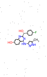 Cc1cc(Nc2nc([C@H](O)c3ccc(F)cc3)nc3cc(O)ccc23)n[nH]1